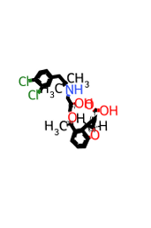 C[C@@H](OC[C@H](O)CNC(C)(C)Cc1ccc(Cl)c(Cl)c1)c1cccc2c1[C@@H]1[C@H](O2)[C@H]1C(=O)O